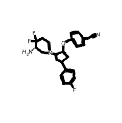 N#Cc1ccc(OC2CC(c3ccc(F)cc3)CC2N2CCC(F)(F)[C@@H](N)C2)cc1